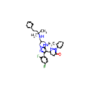 Cc1ccccc1-n1nc(-c2c(-c3ccc(F)cc3F)nn3c2NCC(CNC(C)(C)CCc2ccccc2)C3)ccc1=O